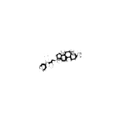 C[C@]12CCC(=O)N[C@@H]1CC[C@@H]1[C@@H]2CC[C@]2(C)[C@@H](CCC(=O)Nc3ccncc3)CC[C@@H]12